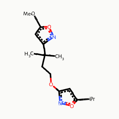 COc1cc(C(C)(C)CCOc2cc(C(C)C)on2)no1